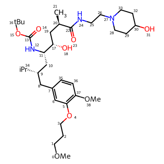 COCCCOc1cc(C[C@@H](C[C@H](NC(=O)OC(C)(C)C)[C@@H](O)C[C@@H](C)C(=O)NCCN2CCC(O)CC2)C(C)C)ccc1OC